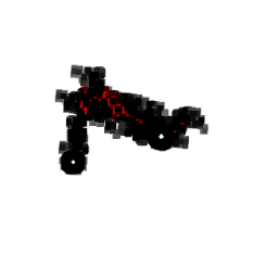 CCN(C(=O)OCc1ccc(NC(=O)[C@H](CCCNC(N)=O)NC(=O)[C@@H](NC(=O)CCCC(=O)N2CCC(C(=O)NC3CCCCCCCC3)CC2)C(C)C)cc1)C1COCC(OC2C(O[C@H]3C#C/C=C\C#C[C@]4(O)CC(=O)C(NC(=O)OC)C3/C4=C\CSSC(C)C)OC(C)C(NOC3CC(O)C(SC(=O)c4c(C)c(I)c(OC5(O)COC(C)C(O)C5OC)c(OC)c4OC)C(C)O3)C2O)C1OC